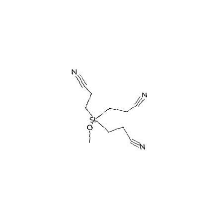 CO[Si](CCC#N)(CCC#N)CCC#N